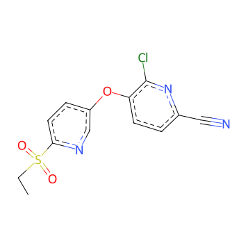 CCS(=O)(=O)c1ccc(Oc2ccc(C#N)nc2Cl)cn1